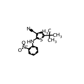 CC(C)(C)c1cc(C#N)c(Nc2ccccc2[N+](=O)[O-])s1